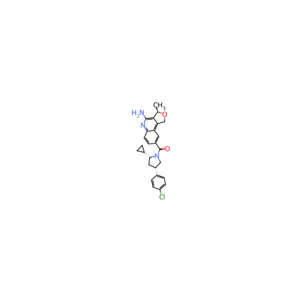 C[C@H]1OCc2c1c(N)nc1ccc(C(=O)N3C[C@H](c4ccc(Cl)cc4)C[C@@H]3C3CC3)cc21